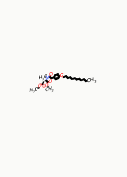 CCCCCCCCCCCCOc1ccc(CC(=O)N(C)[C@@H](CC(=O)OCC)C(=O)OCC)cc1